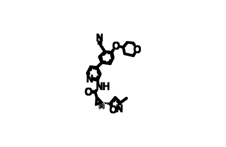 Cc1cc([C@@H]2CC2C(=O)Nc2cc(-c3ccc(OC4CCOCC4)c(C#N)c3)ccn2)on1